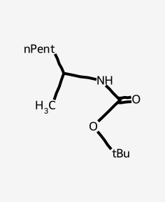 CCCCCC(C)NC(=O)OC(C)(C)C